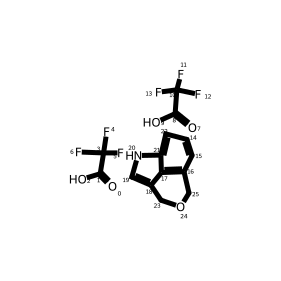 O=C(O)C(F)(F)F.O=C(O)C(F)(F)F.c1cc2c3c(c[nH]c3c1)COC2